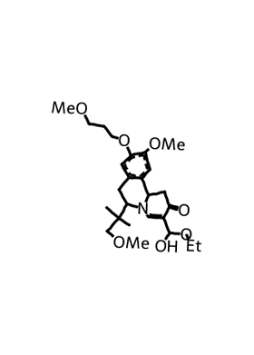 CCOC(O)C1=CN2C(CC1=O)c1cc(OC)c(OCCCOC)cc1CC2C(C)(C)COC